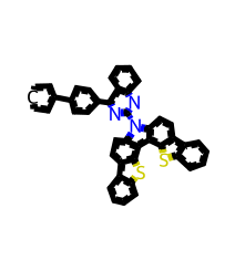 c1ccc(-c2ccc(-c3nc(-n4c5ccc6c7ccccc7sc6c5c5c6sc7ccccc7c6ccc54)nc4ccccc34)cc2)cc1